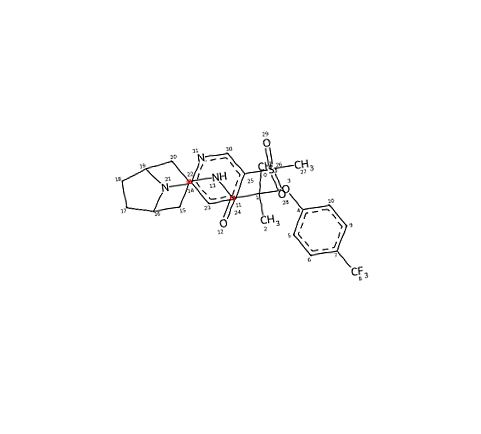 CC(C)(Oc1ccc(C(F)(F)F)cc1)C(=O)NC1CC2CCC(C1)N2c1ccc(S(C)(=O)=O)cn1